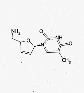 Cc1cn([C@H]2C=CC(CN)O2)c(=O)[nH]c1=O